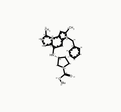 Cc1cc2c(cc(N[C@@H]3CCN(C(=O)OC(C)(C)C)C3)c3nnc(C)n32)n1Cc1ccccc1